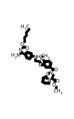 CCCCCCOC(=O)/N=C(/N)c1ccc(NCc2nc3cc(C(=O)N(CCC(=O)OCC)Oc4ccccn4)ccc3n2C)cc1